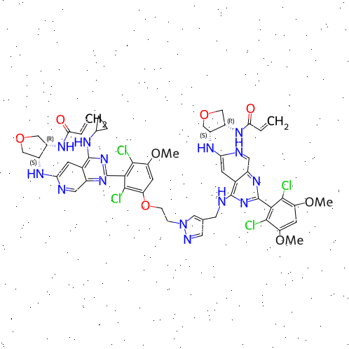 C=CC(=O)N[C@H]1COC[C@H]1Nc1cc2c(NCc3cnn(CCOc4cc(OC)c(Cl)c(-c5nc(NC6CC6)c6cc(N[C@@H]7COC[C@@H]7NC(=O)C=C)ncc6n5)c4Cl)c3)nc(-c3c(Cl)c(OC)cc(OC)c3Cl)nc2cn1